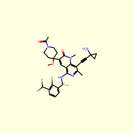 COC1(c2cc3c(N[C@H](C)c4cccc(C(F)F)c4F)nc(C)c(C#CC4(N)CC4)c3n(C)c2=O)CCN(C(C)=O)CC1